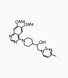 COc1cc2ncnc(N3CCC(C(O)CN4C=CC(C)=NS4)CC3)c2cc1OC